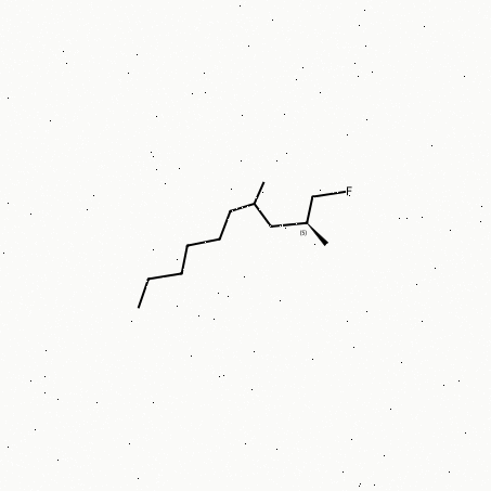 CCCCCCC(C)C[C@H](C)CF